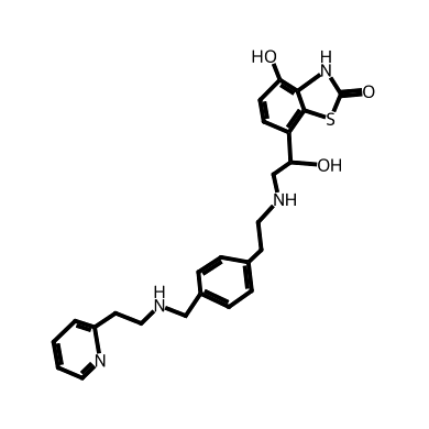 O=c1[nH]c2c(O)ccc(C(O)CNCCc3ccc(CNCCc4ccccn4)cc3)c2s1